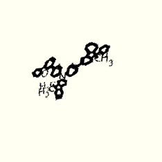 CC1(C)c2ccccc2-c2ccc(N(c3ccc(-c4ccc5c(c4)C4=CC=CCC=C4C5(C)c4ccccc4)cc3)c3ccc(-c4cccc5c4oc4ccccc45)cc3)cc21